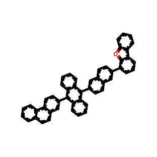 c1ccc2c(c1)ccc1cc(-c3c4ccccc4c(-c4ccc5cc(-c6cccc7c6oc6ccccc67)ccc5c4)c4ccccc34)ccc12